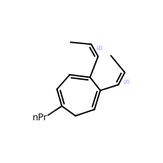 C/C=C\C1=CC=C(CCC)CC=C1/C=C\C